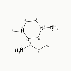 CCCN.CN1CCN(N)CC1